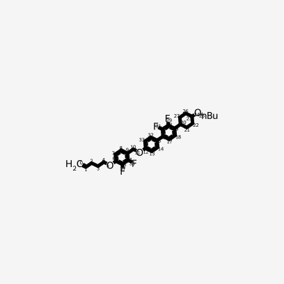 C=CCCCOc1ccc(COc2ccc(-c3ccc(C4CCC(OCCCC)CC4)c(F)c3F)cc2)c(F)c1F